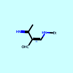 CCN/C=C(/C=O)C(C)=N